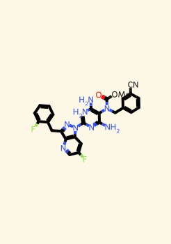 C=C(/N=C(/N)C(=C(N)N)N(Cc1cccc(C#N)c1)C(=O)OC)n1nc(Cc2ccccc2F)c2ncc(F)cc21